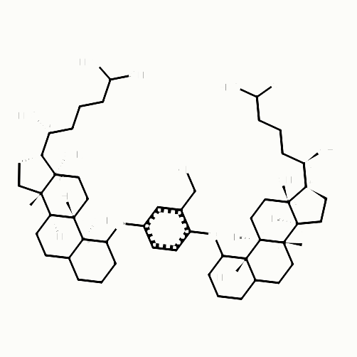 CC(C)CCC[C@@H](C)[C@H]1CC[C@H]2[C@@H]3CCC4CCCC(Oc5ccc(OC6CCCC7CC[C@@H]8[C@H](CC[C@]9(C)[C@@H]([C@H](C)CCCC(C)C)CC[C@@H]89)[C@]76C)c(CCl)c5)[C@]4(C)[C@H]3CC[C@]12C